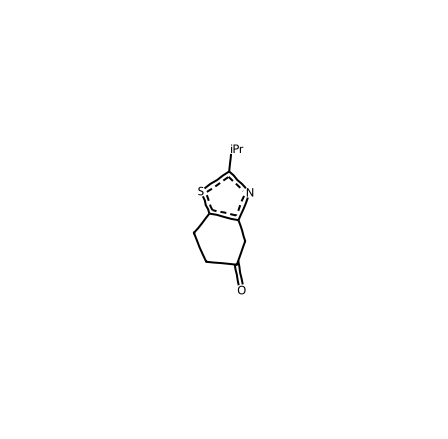 CC(C)c1nc2c(s1)CCC(=O)C2